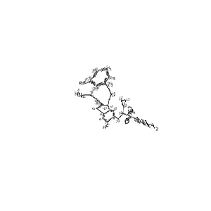 CNCC1Cc2cc(F)c(CC(C3CC3)S(N)(=O)=O)cc2C1Cc1cccc(F)c1